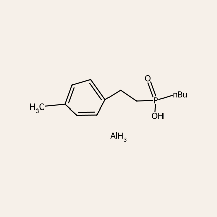 CCCCP(=O)(O)CCc1ccc(C)cc1.[AlH3]